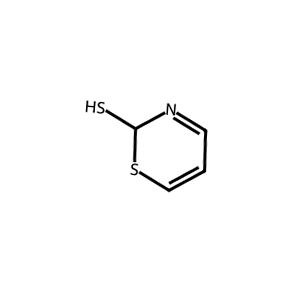 SC1N=CC=CS1